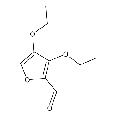 CCOc1coc(C=O)c1OCC